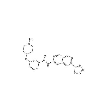 CN1CCC(Oc2cccc(C(=O)Nc3cc4cc(-c5nncs5)ncc4cn3)c2)CC1